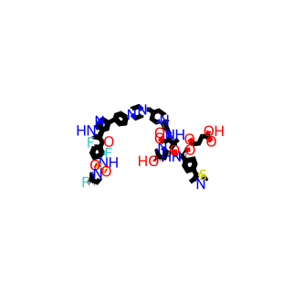 Cc1ncsc1-c1ccc([C@H](COC(=O)CCC(=O)O)NC(=O)[C@@H]2C[C@@H](O)CN2C(=O)C(NC(=O)CN2CCC(CN3CCN(c4ccc(-c5cnc6[nH]cc(C(=O)c7c(F)ccc(NS(=O)(=O)N8CC[C@@H](F)C8)c7F)c6c5)cc4)CC3)CC2)C(C)(C)C)cc1